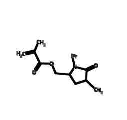 C=C(C)C(=O)OCC1CC(C)C(=O)N1C(C)C